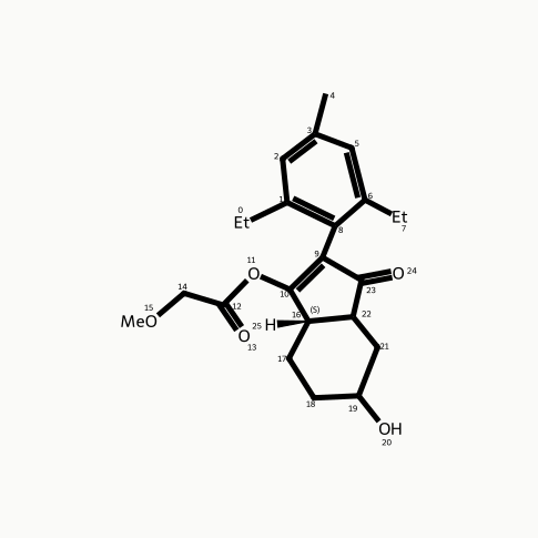 CCc1cc(C)cc(CC)c1C1=C(OC(=O)COC)[C@H]2CCC(O)CC2C1=O